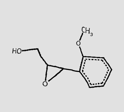 COc1ccccc1C1OC1CO